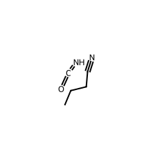 CCCC#N.N=C=O